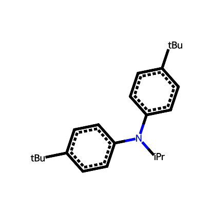 CC(C)N(c1ccc(C(C)(C)C)cc1)c1ccc(C(C)(C)C)cc1